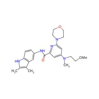 COCCN(C)c1cc(C(=O)Nc2ccc3[nH]c(C)c(C)c3c2)nc(N2CCOCC2)c1